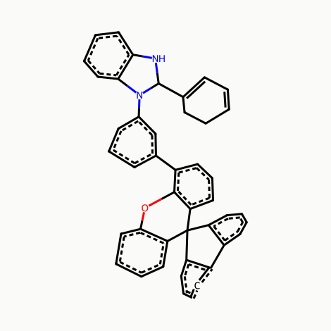 C1=CCCC(C2Nc3ccccc3N2c2cccc(-c3cccc4c3Oc3ccccc3C43c4ccccc4-c4ccccc43)c2)=C1